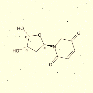 O=C1C=CC(=O)N([C@H]2C[C@H](O)[C@H](O)O2)C1